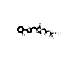 CC(NC(=O)CN1C(=O)C(=Cc2ccc(-c3ccccc3Cl)o2)SC1=S)C(=O)O